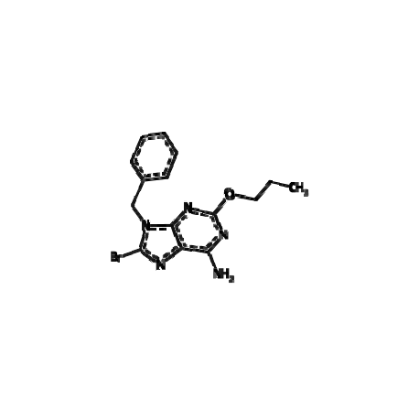 CCCOc1nc(N)c2nc(Br)n(Cc3ccccc3)c2n1